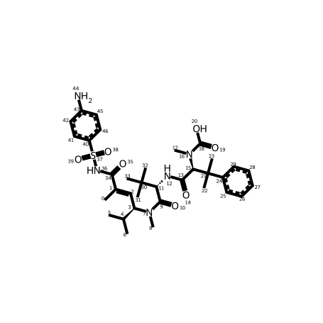 CC(=C[C@H](C(C)C)N(C)C(=O)[C@@H](NC(=O)[C@@H](N(C)C(=O)O)C(C)(C)c1ccccc1)C(C)(C)C)C(=O)NS(=O)(=O)c1ccc(N)cc1